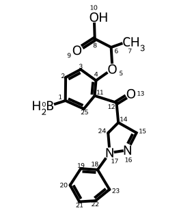 Bc1ccc(OC(C)C(=O)O)c(C(=O)C2C=NN(c3ccccc3)C2)c1